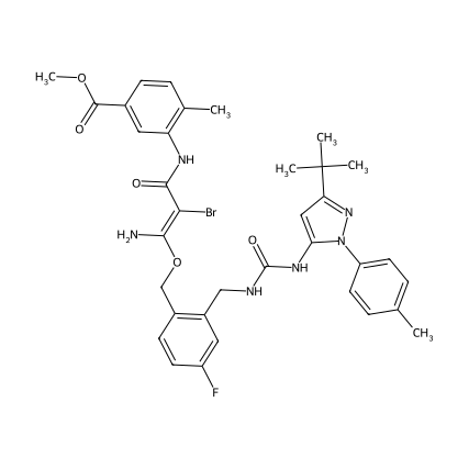 COC(=O)c1ccc(C)c(NC(=O)/C(Br)=C(\N)OCc2ccc(F)cc2CNC(=O)Nc2cc(C(C)(C)C)nn2-c2ccc(C)cc2)c1